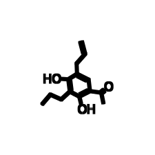 C=CCc1cc(C(C)=O)c(O)c(CCC)c1O